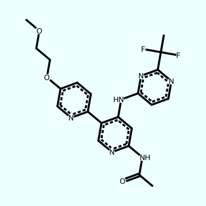 COCCOc1ccc(-c2cnc(NC(C)=O)cc2Nc2ccnc(C(C)(F)F)n2)nc1